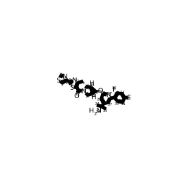 Cc1nc(-c2cscn2)sc1C(=O)N1C[C@@H]2[C@H](C1)[C@@H]2Oc1cc(C(C)(C)N)cc(-c2ccc(F)cc2F)n1